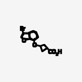 O=C(O)C1CC(Oc2cccc3c(Br)coc23)C1